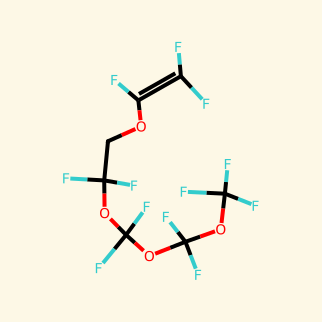 FC(F)=C(F)OCC(F)(F)OC(F)(F)OC(F)(F)OC(F)(F)F